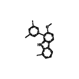 COc1ccc2c([nH]c3c(C)cccc32)c1-c1cc(C)cc(C)c1